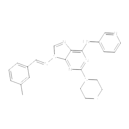 Cc1cccc(/C=N/n2cnc3c(Nc4cccnc4)nc(N4CCOCC4)nc32)c1